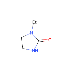 CCN1CCNC1=O